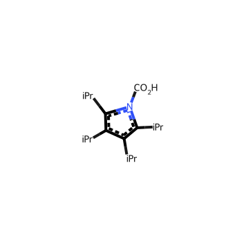 CC(C)c1c(C(C)C)c(C(C)C)n(C(=O)O)c1C(C)C